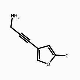 NCC#Cc1coc(Cl)c1